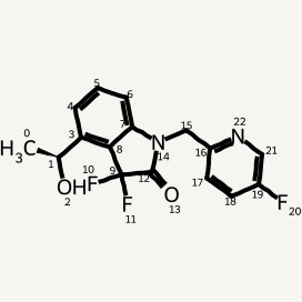 C[C@H](O)c1cccc2c1C(F)(F)C(=O)N2Cc1ccc(F)cn1